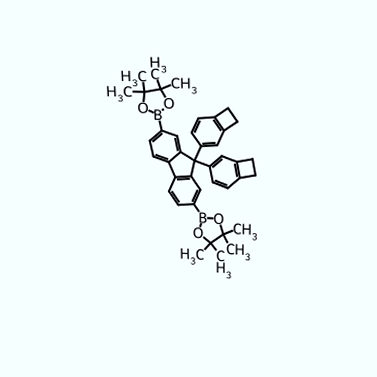 CC1(C)OB(c2ccc3c(c2)C(c2ccc4c(c2)CC4)(c2ccc4c(c2)CC4)c2cc(B4OC(C)(C)C(C)(C)O4)ccc2-3)OC1(C)C